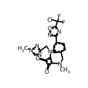 CN(Cc1ccc(-c2noc(C(F)(F)Cl)n2)cc1)c1c(NCc2ncn(C)n2)c(=O)c1=O